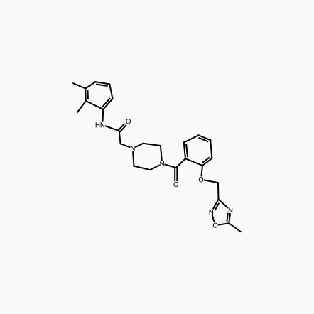 Cc1nc(COc2ccccc2C(=O)N2CCN(CC(=O)Nc3cccc(C)c3C)CC2)no1